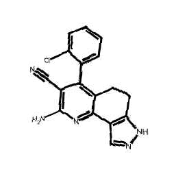 N#Cc1c(N)nc2c(c1-c1ccccc1Cl)CCc1[nH]ncc1-2